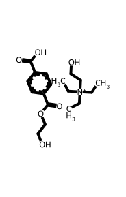 CC[N+](CC)(CC)CCO.O=C(O)c1ccc(C(=O)OCCO)cc1